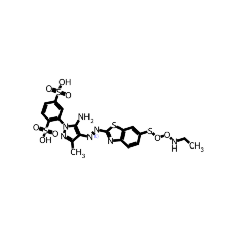 CCNOOSc1ccc2nc(/N=N/c3c(C)nn(-c4cc(S(=O)(=O)O)ccc4S(=O)(=O)O)c3N)sc2c1